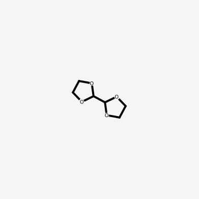 C1COC(C2OCCO2)O1